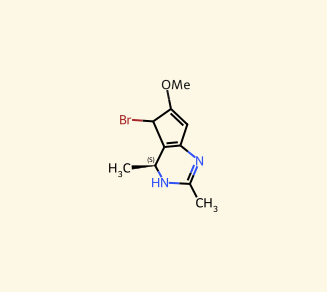 COC1=CC2=C(C1Br)[C@H](C)NC(C)=N2